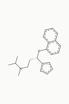 CC(C)N(C)CC[C@H](Oc1cccc2ccccc12)c1cccs1